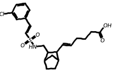 O=C(O)CCCC=CC1C2CCC(C2)C1CNS(=O)(=O)C=Cc1cccc(Cl)c1